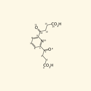 O=C(O)CCC(=O)c1cccc(C(=O)CCC(=O)O)n1